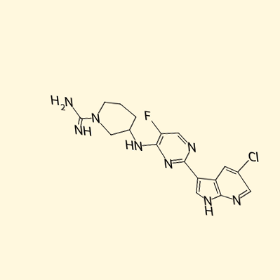 N=C(N)N1CCCC(Nc2nc(-c3c[nH]c4ncc(Cl)cc34)ncc2F)C1